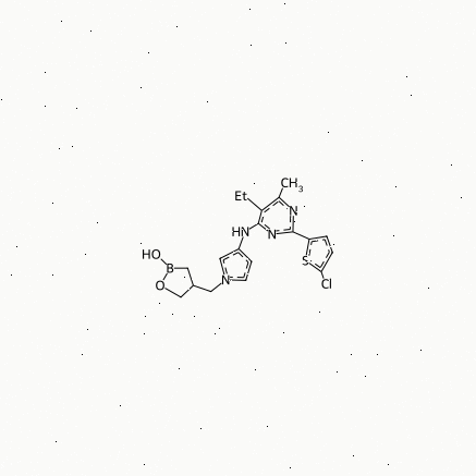 CCc1c(C)nc(-c2ccc(Cl)s2)nc1Nc1ccn(CC2COB(O)C2)c1